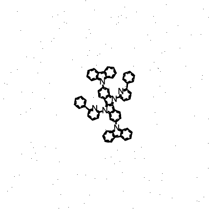 c1ccc(-c2cccc(-n3c4cc(-n5c6ccccc6c6ccccc65)ccc4c4c3c3ccc(-n5c6ccccc6c6ccccc65)cc3n4-c3cccc(-c4ccccc4)n3)n2)cc1